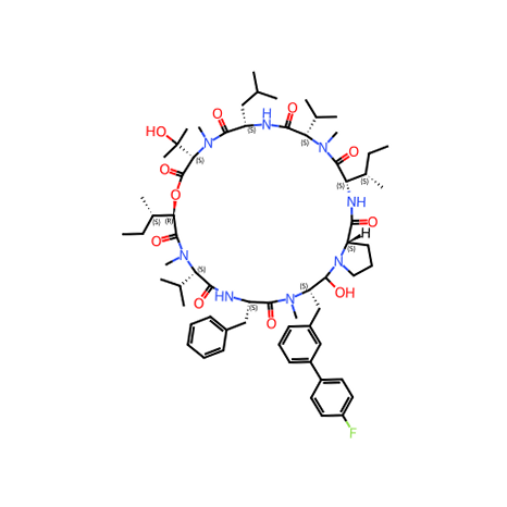 CC[C@H](C)[C@@H]1NC(=O)[C@@H]2CCCN2C(O)[C@H](Cc2cccc(-c3ccc(F)cc3)c2)N(C)C(=O)[C@H](Cc2ccccc2)NC(=O)[C@H](C(C)C)N(C)C(=O)[C@@H]([C@@H](C)CC)OC(=O)[C@H](C(C)(C)O)N(C)C(=O)[C@H](CC(C)C)NC(=O)[C@H](C(C)C)N(C)C1=O